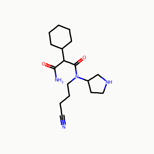 N#CCCCN(C(=O)C(C(N)=O)C1CCCCC1)C1CCNC1